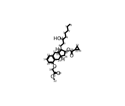 CCCCC[C@@H](O)CC[C@@H]1[C@H]2Cc3cccc(OCC(=O)OC)c3C[C@H]2C[C@H]1OC(=O)C1CC1